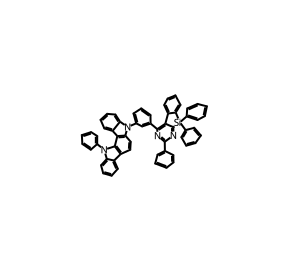 c1ccc(-c2nc(-c3cccc(-n4c5ccccc5c5c4ccc4c6ccccc6n(-c6ccccc6)c45)c3)c3c(n2)[Si](c2ccccc2)(c2ccccc2)c2ccccc2-3)cc1